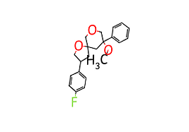 COC1(c2ccccc2)COCC2(CC(c3ccc(F)cc3)CO2)C1